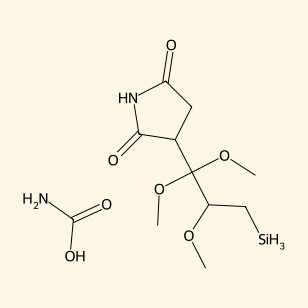 COC(C[SiH3])C(OC)(OC)C1CC(=O)NC1=O.NC(=O)O